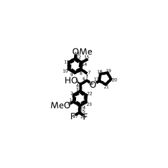 COc1cc([C@@H](O)[C@H](Cc2cccc(OC)c2C)OC2CCCC2)ccc1C(F)F